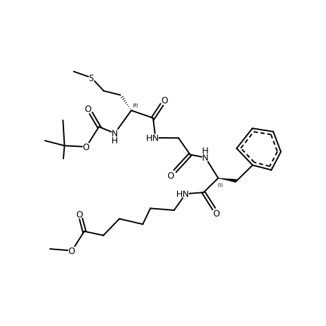 COC(=O)CCCCCNC(=O)[C@H](Cc1ccccc1)NC(=O)CNC(=O)[C@@H](CCSC)NC(=O)OC(C)(C)C